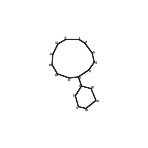 C1CCCCCC(C2CCCCC2)CCCCC1